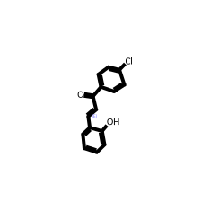 O=C(/C=C/c1ccccc1O)c1ccc(Cl)cc1